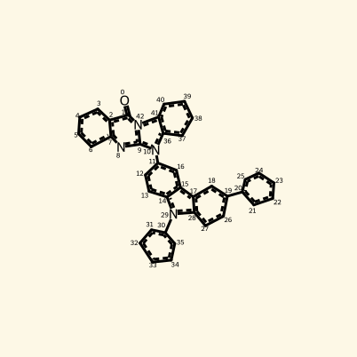 O=c1c2ccccc2nc2n(-c3ccc4c(c3)c3cc(-c5ccccc5)ccc3n4-c3ccccc3)c3ccccc3n12